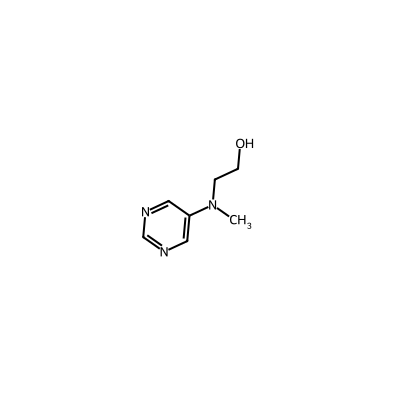 CN(CCO)c1cncnc1